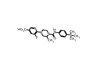 CC1CN(c2ncc(C(=O)O)cc2F)CCN1C(=O)Nc1ccc([Si](C)(C)C)cc1